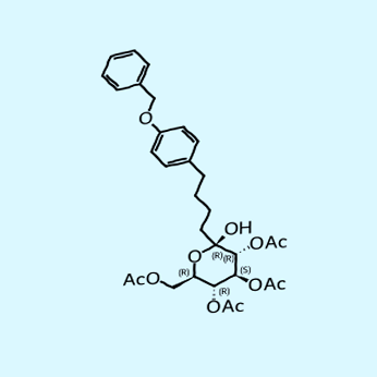 CC(=O)OC[C@H]1O[C@](O)(CCCCc2ccc(OCc3ccccc3)cc2)[C@H](OC(C)=O)[C@@H](OC(C)=O)[C@@H]1OC(C)=O